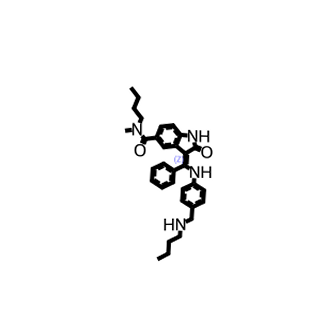 CCCCNCc1ccc(N/C(=C2\C(=O)Nc3ccc(C(=O)N(C)CCCC)cc32)c2ccccc2)cc1